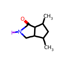 CC1CC(C)C2C(=O)N(I)CC12